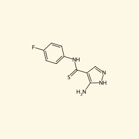 Nc1[nH]ncc1C(=S)Nc1ccc(F)cc1